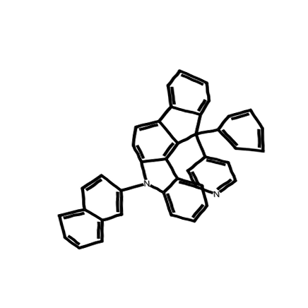 c1ccc(C2(c3ccncc3)c3ccccc3-c3ccc4c(c32)c2ccccc2n4-c2ccc3ccccc3c2)cc1